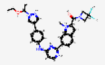 CCOC(C)n1cc(-c2ccc(Nc3ccnc(-c4ccc5cc(C(=O)N6CC(F)(F)C6)n(C)c5c4)n3)cc2)cn1